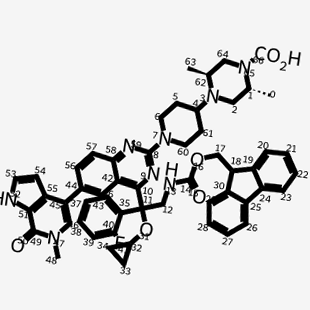 C[C@@H]1CN(C2CCN(c3nc(C(CNC(=O)OCC4c5ccccc5-c5ccccc54)(OC4CC4)c4ccccc4F)c4cc(-c5cn(C)c(=O)c6[nH]ccc56)ccc4n3)CC2)[C@@H](C)CN1C(=O)O